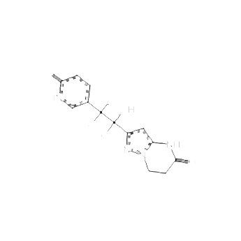 CC(C)(c1ccc(=O)[nH]c1)C(C)(C)c1cc2n(n1)CCC(=O)N2